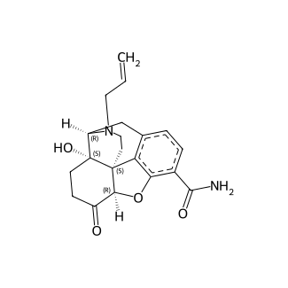 C=CCN1CC[C@]23c4c5ccc(C(N)=O)c4O[C@H]2C(=O)CC[C@@]3(O)[C@H]1C5